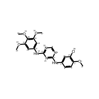 COc1ccc(Nc2ncnc(Nc3cc(OC)c(OC)c(OC)c3)n2)cc1Cl